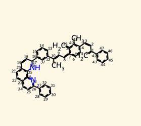 C=C(/C=C\c1cc/c(=C/C=C(\C)c2cccc(C3C=Cc4ccc5ccc(-c6ccccc6)nc5c4N3)c2)c(=C)c1C)c1ccccc1